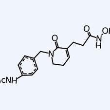 CC(=O)Nc1ccc(CN2CCC=C(CCC(=O)NO)C2=O)cc1